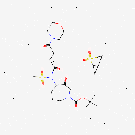 CC(C)(C)OC(=O)N1CCCC(N(C(=O)CCC(=O)N2CCOCC2)S(C)(=O)=O)C(=O)C1.O=S1(=O)CC2CC21